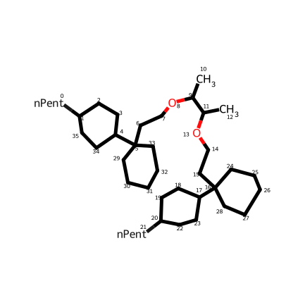 CCCCCC1CCC(C2(CCOC(C)C(C)OCCC3(C4CCC(CCCCC)CC4)CCCCC3)CCCCC2)CC1